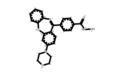 O=C(NO)c1ccc(C2=Nc3ccccc3Oc3cc(N4CCOCC4)ccc32)cc1